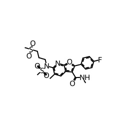 CNC(=O)c1c(-c2ccc(F)cc2)oc2nc(N(CCCS(C)(=O)=O)S(C)(=O)=O)c(C)cc12